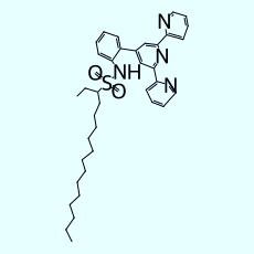 CCCCCCCCCCCCCC(CC)S(=O)(=O)Nc1ccccc1-c1cc(-c2ccccn2)nc(-c2ccccn2)c1